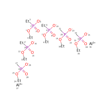 CCOP(=O)([O-])CC.CCOP(=O)([O-])CC.CCOP(=O)([O-])CC.CCOP(C)(=O)[O-].CCOP(C)(=O)[O-].CCOP(C)(=O)[O-].[Al+3].[Al+3]